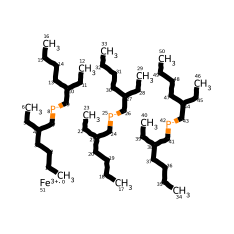 CCCCC(CC)C[P-]CC(CC)CCCC.CCCCC(CC)C[P-]CC(CC)CCCC.CCCCC(CC)C[P-]CC(CC)CCCC.[Fe+3]